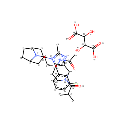 CC(=O)N[C@@H](CCN1C2CCC1CC(n1c(C)nc3c1CCN(C(=O)C(C)C)C3)C2)c1cccc(F)c1.O=C(O)C(O)C(O)C(=O)O